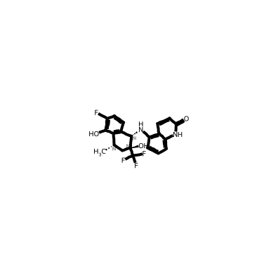 C[C@H]1C[C@@](O)(C(F)(F)F)[C@@H](Nc2cccc3[nH]c(=O)ccc23)c2ccc(F)c(O)c21